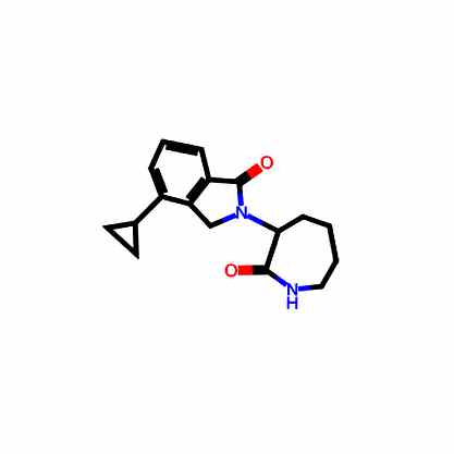 O=C1NCCCCC1N1Cc2c(cccc2C2CC2)C1=O